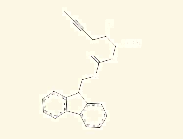 CC#CC[C@H](C)[C@@H](NC(=O)OCC1c2ccccc2-c2ccccc21)C(=O)O